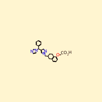 O=C(O)COc1cccc2c1CCC(Cn1cc(C(c3ccccc3)n3ccnc3)cn1)C2